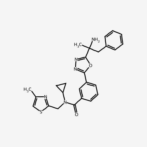 Cc1csc(CN(C(=O)c2cccc(-c3nnc(C(C)(N)Cc4ccccc4)o3)c2)C2CC2)n1